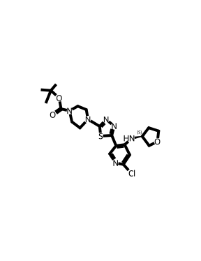 CC(C)(C)OC(=O)N1CCN(c2nnc(-c3cnc(Cl)cc3N[C@H]3CCOC3)s2)CC1